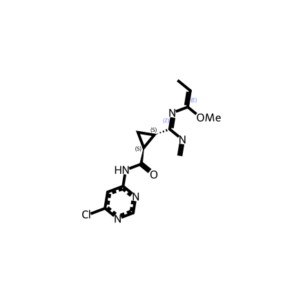 C=N/C(=N\C(=C/C)OC)[C@H]1C[C@@H]1C(=O)Nc1cc(Cl)ncn1